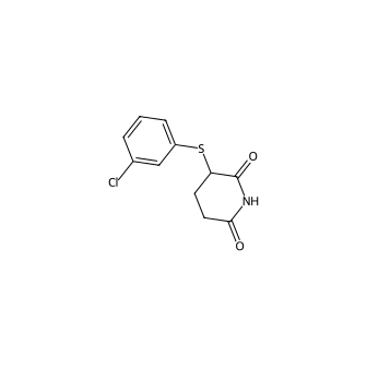 O=C1CCC(Sc2cccc(Cl)c2)C(=O)N1